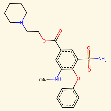 CCCCNc1cc(C(=O)OCCN2CCCCC2)cc(S(N)(=O)=O)c1Oc1ccccc1